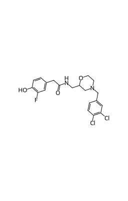 O=C(Cc1ccc(O)c(F)c1)NCC1CN(Cc2ccc(Cl)c(Cl)c2)CCO1